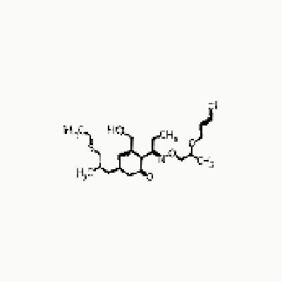 CCSCC(C)CC1C=C(CO)C(/C(CC)=N/OCC(C)OCC=CCl)C(=O)C1